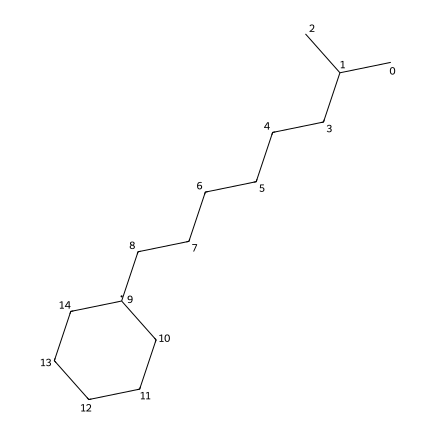 CC(C)CCCCCC[C]1CCCCC1